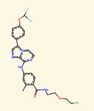 Cc1cc(Nc2nccn3c(-c4ccc(OC(F)F)cc4)cnc23)ccc1C(=O)NCCOCCCl